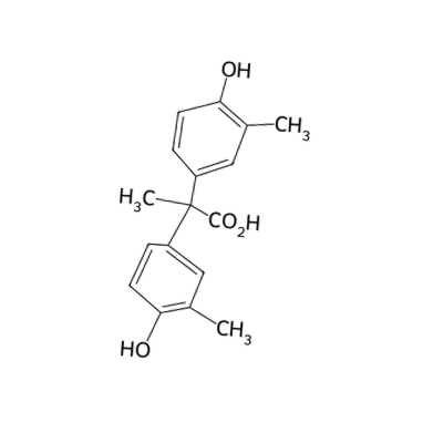 Cc1cc(C(C)(C(=O)O)c2ccc(O)c(C)c2)ccc1O